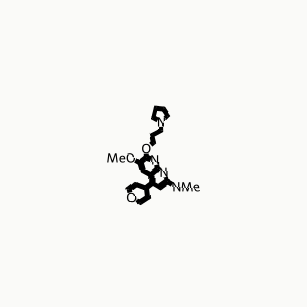 CNc1cc(C2CCOCC2)c2cc(OC)c(OCCCN3CCCC3)nc2n1